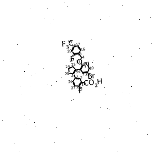 O=C(O)c1cc(C2=C(c3cc(Br)cnc3OCc3ccc(C(F)(F)F)cc3F)CCC2)ccc1F